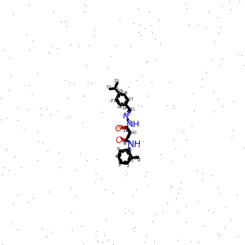 Cc1ccccc1NC(=O)CC(=O)N/N=C/c1ccc(C(C)C)cc1